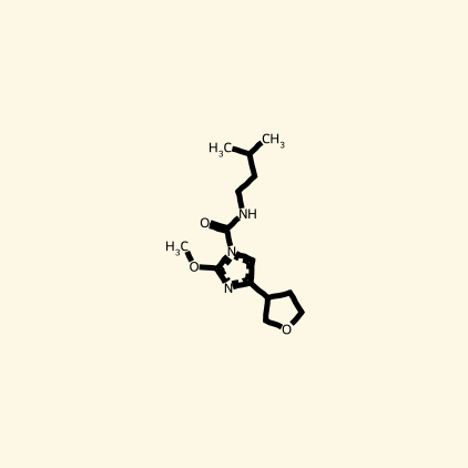 COc1nc(C2CCOC2)cn1C(=O)NCCC(C)C